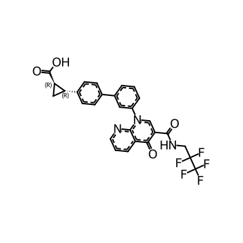 O=C(NCC(F)(F)C(F)(F)F)c1cn(-c2cccc(-c3ccc([C@@H]4C[C@H]4C(=O)O)cc3)c2)c2ncccc2c1=O